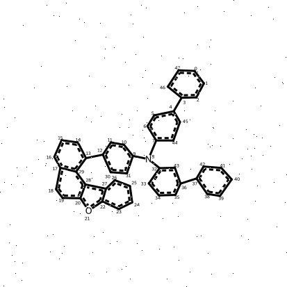 c1ccc(-c2ccc(N(c3ccc(-c4cccc5ccc6oc7ccccc7c6c45)cc3)c3cccc(-c4ccccc4)c3)cc2)cc1